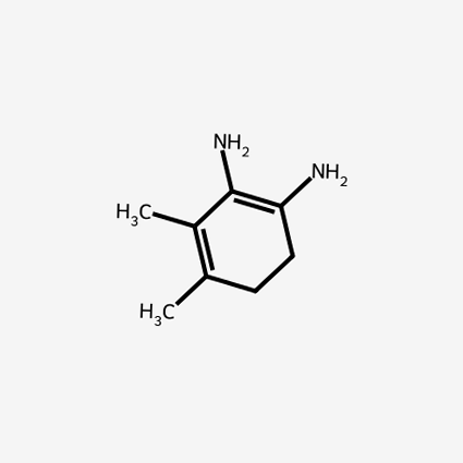 CC1=C(C)C(N)=C(N)CC1